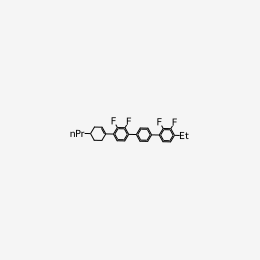 CCCC1CC=C(c2ccc(-c3ccc(-c4ccc(CC)c(F)c4F)cc3)c(F)c2F)CC1